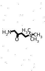 C[Si](C)(C)CCC(=O)CN